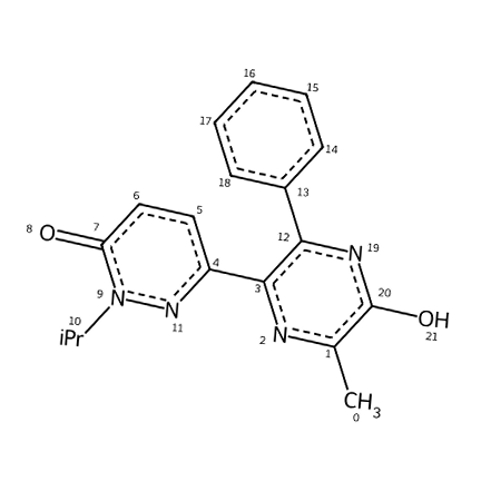 Cc1nc(-c2ccc(=O)n(C(C)C)n2)c(-c2ccccc2)nc1O